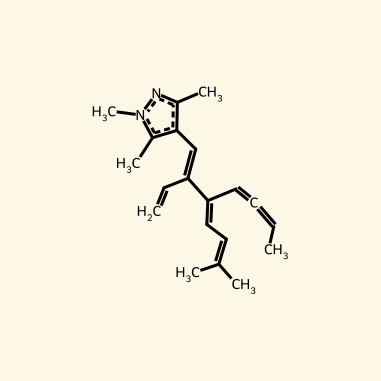 C=CC(=C\c1c(C)nn(C)c1C)/C(C=C=CC)=C/C=C(C)C